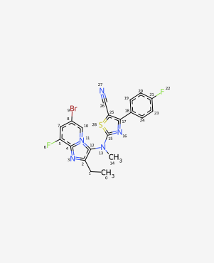 CCc1nc2c(F)cc(Br)cn2c1N(C)c1nc(-c2ccc(F)cc2)c(C#N)s1